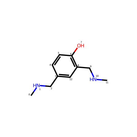 CNCc1ccc(O)c(CNC)c1